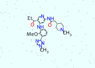 CCC(=O)c1cnc(NC(=O)CC2CCN(C)CC2)cc1Nc1cccc(-c2ncn(C)n2)c1OC